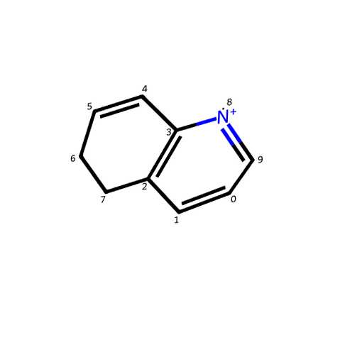 C1=CC2=C(C=CCC2)[N+]=C1